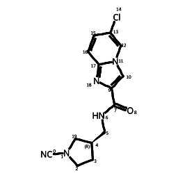 N#CN1CC[C@H](CNC(=O)c2cn3cc(Cl)ccc3n2)C1